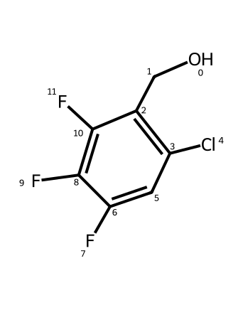 OCc1c(Cl)cc(F)c(F)c1F